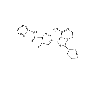 Nc1nccn2c(C3CCCCC3)nc(-c3ccc(C(=O)Nc4ccccn4)c(F)c3)c12